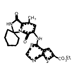 CCOC(=O)c1cc2c(Nc3cc(C)c4n(c3=O)C3(CCCCC3)NC4=O)ncnc2s1